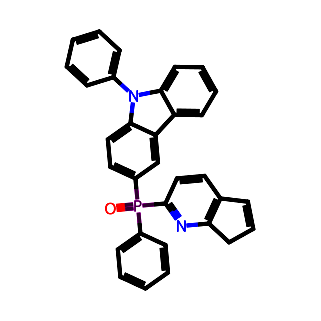 O=P(c1ccccc1)(c1ccc2c(c1)c1ccccc1n2-c1ccccc1)c1ccc2c(n1)CC=C2